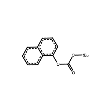 CC(C)(C)OC(=O)Oc1[c]ccc2ccccc12